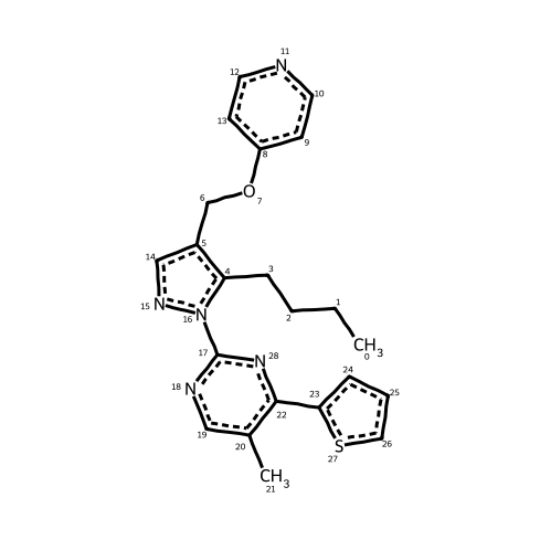 CCCCc1c(COc2ccncc2)cnn1-c1ncc(C)c(-c2cccs2)n1